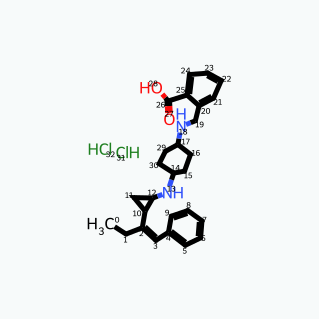 CCC(=Cc1ccccc1)C1CC1NC1CCC(NCc2ccccc2C(=O)O)CC1.Cl.Cl